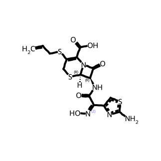 C=CCSC1=C(C(=O)O)N2C(=O)[C@@H](NC(=O)/C(=N\O)c3csc(N)n3)[C@H]2SC1